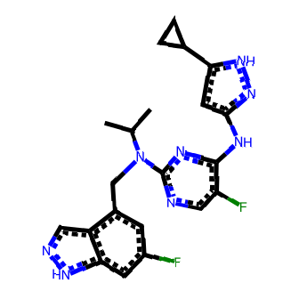 CC(C)N(Cc1cc(F)cc2[nH]ncc12)c1ncc(F)c(Nc2cc(C3CC3)[nH]n2)n1